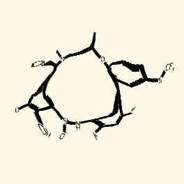 CC1CN(C)C(=O)c2cc(Cl)c(O)c(c2)[S+]([O-])Nc2cc(c(F)cc2F)-c2cc(SC(F)(F)F)ccc2O1